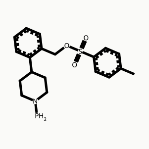 Cc1ccc(S(=O)(=O)OCc2ccccc2C2CCN(P)CC2)cc1